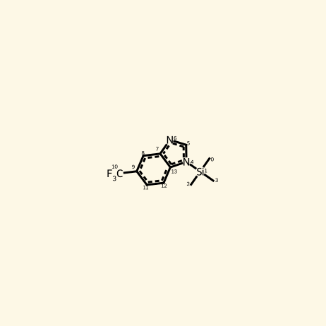 C[Si](C)(C)n1cnc2cc(C(F)(F)F)ccc21